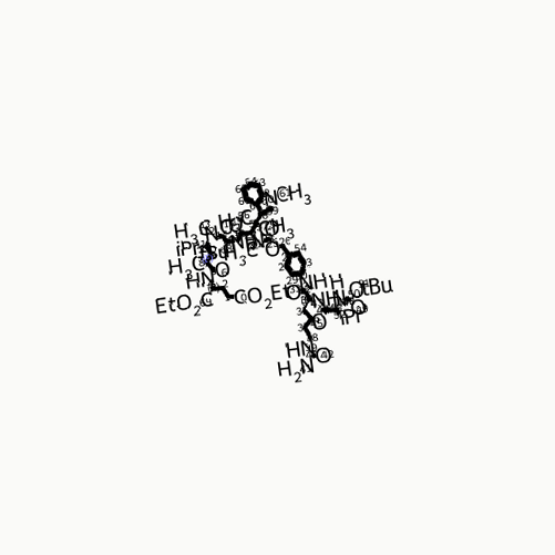 CCOC(=O)CC[C@@H](NC(=O)/C(C)=C/[C@H](C(C)C)N(C)C(=O)[C@@H](NC(=O)[C@@H](N(C)C(=O)OCc1ccc(NC(=O)[C@H](CCCCNC(N)=O)NC(=O)C(NC(=O)OC(C)(C)C)C(C)C)cc1)C(C)(C)c1cn(C)c2ccccc12)C(C)(C)C)C(=O)OCC